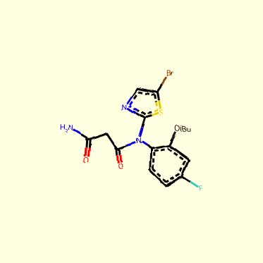 CC(C)COc1cc(F)ccc1N(C(=O)CC(N)=O)c1ncc(Br)s1